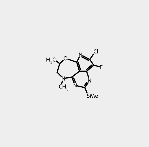 CSc1nc2c3c(nc(Cl)c(F)c3n1)OC(C)CN2C